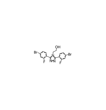 OCCn1c(-c2ccc(Br)cc2F)nnc1-c1ccc(Br)cc1F